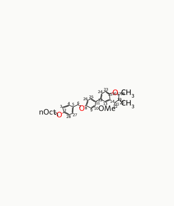 CCCCCCCCOc1ccc(COc2ccc(-c3ccc(O[C@H](C)[C@@H](C)COC)cc3)cc2)cc1